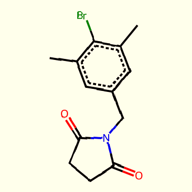 Cc1cc(CN2C(=O)CCC2=O)cc(C)c1Br